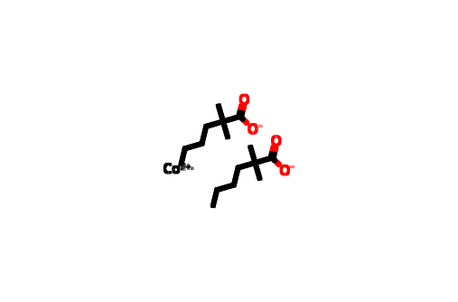 CCCCC(C)(C)C(=O)[O-].CCCCC(C)(C)C(=O)[O-].[Co+2]